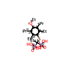 CCOc1c(C(C)C)c(CC)c(SC(CC)(P(=O)(O)O)P(=O)(O)O)c(CC)c1C(C)C